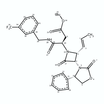 CC=C[C@@H]1[C@H](N2C(=O)OC[C@@H]2c2ccccc2)C(=O)N1[C@H](CC(=O)OC(C)(C)C)C(=O)NCc1cccc(C(F)(F)F)c1